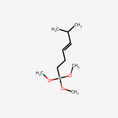 CO[Si](CCC=CC(C)C)(OC)OC